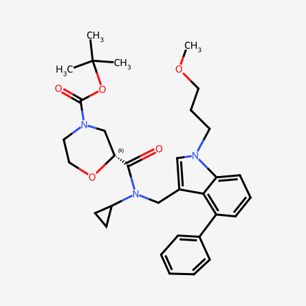 COCCCn1cc(CN(C(=O)[C@H]2CN(C(=O)OC(C)(C)C)CCO2)C2CC2)c2c(-c3ccccc3)cccc21